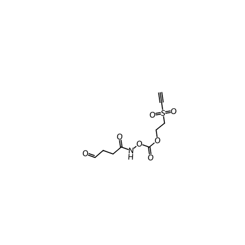 C#CS(=O)(=O)CCOC(=O)ONC(=O)CCC=O